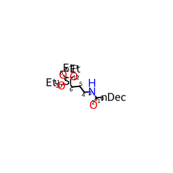 CCCCC[CH]CCCCC(=O)NCCC[Si](OCC)(OCC)OCC